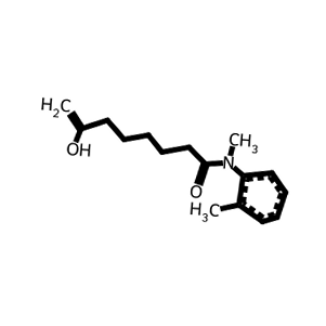 C=C(O)CCCCCC(=O)N(C)c1ccccc1C